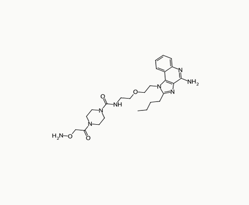 CCCCc1nc2c(N)nc3ccccc3c2n1CCOCCNC(=O)N1CCN(C(=O)CON)CC1